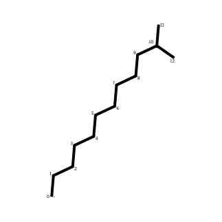 [CH2]CCCCCCCCC[C](C)C